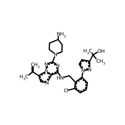 C=C(C)c1cnc2c(NCc3c(Cl)cccc3-n3ccc(C(C)(C)O)n3)nc(N3CCC(N)CC3)nn12